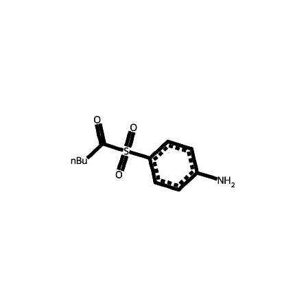 CCCCC(=O)S(=O)(=O)c1ccc(N)cc1